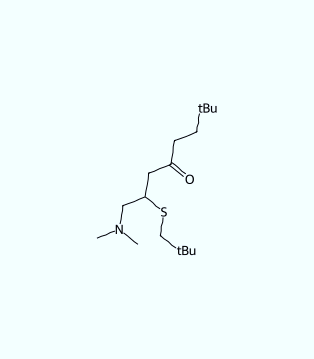 CN(C)CC(CC(=O)CCC(C)(C)C)SCC(C)(C)C